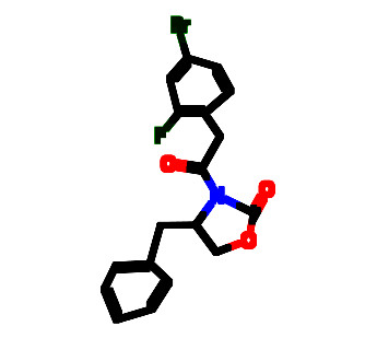 O=C(Cc1ccc(Br)cc1F)N1C(=O)OCC1Cc1ccccc1